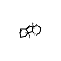 C1=CC2=C[C@@H]3[N]CCOC3[C@@H]2CC1